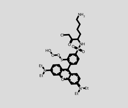 CCN(CC)c1ccc2c(-c3ccc(S(=O)(=O)NC(CCCCN)C(=O)CCl)cc3SOOO)c3ccc(=[N+](CC)CC)cc-3oc2c1